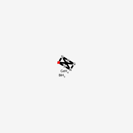 N12[Si]34N5[Si]16N3[Si]25N46.[BiH3].[GeH4]